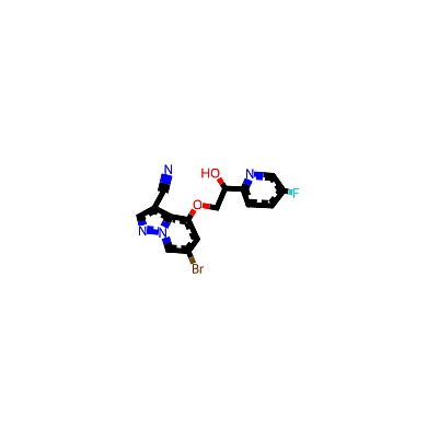 N#Cc1cnn2cc(Br)cc(OCC(O)c3ccc(F)cn3)c12